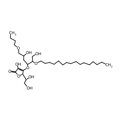 CCCCCCCCCCCCCCCCOC(CO)C(CC(O)COCCCC)OC1=C(O)C(=O)O[C@@H]1[C@@H](O)CO